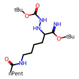 CCCCCC(=O)NCCCCC(NNC(=O)OC(C)(C)C)C(=N)OC(C)(C)C